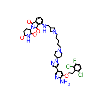 Nc1ncc(-c2cnn(C3CCN(CCCCCN4CC(CNc5cccc6c5C(=O)N([C@@H]5CCC(=O)NC5=O)C6=O)C4)CC3)c2)cc1OCCc1c(Cl)ccc(F)c1Cl